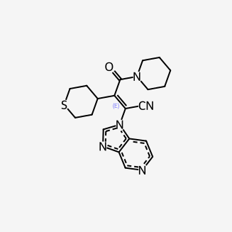 N#C/C(=C(\C(=O)N1CCCCC1)C1CCSCC1)n1cnc2cnccc21